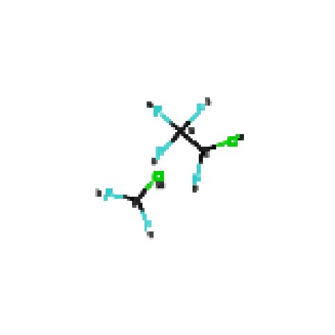 FC(Cl)C(F)(F)F.FC(F)Cl